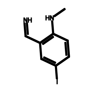 CNc1ccc(I)cc1C=N